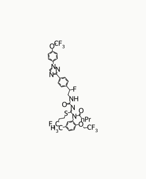 CCCC(=O)N(/C(=N/C(=O)NCC(F)c1ccc(-c2ncn(-c3ccc(OC(F)(F)F)cc3)n2)cc1)SCCC(F)(F)F)c1cc(C)ccc1OCC(F)(F)F